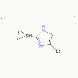 CCc1n[nH]c([SiH]2CC2)n1